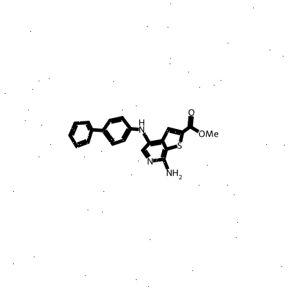 COC(=O)c1cc2c(Nc3ccc(-c4ccccc4)cc3)cnc(N)c2s1